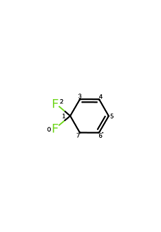 FC1(F)C=CC=[C]C1